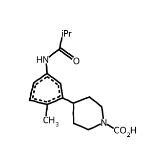 Cc1ccc(NC(=O)C(C)C)cc1C1CCN(C(=O)O)CC1